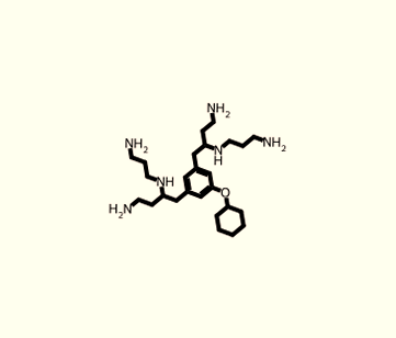 NCCCNC(CCN)Cc1cc(CC(CCN)NCCCN)cc(OC2CCCCC2)c1